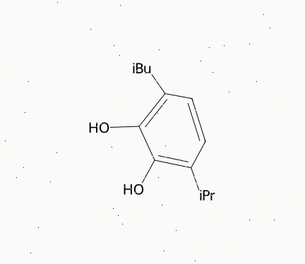 CCC(C)c1ccc(C(C)C)c(O)c1O